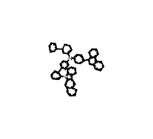 C1=C(c2ccccc2)CCC=C1N(c1ccc(-c2ccccc2-n2c3ccccc3c3cc4ccccc4cc32)cc1)c1ccc(-c2cc3ccccc3c3ccccc23)cc1